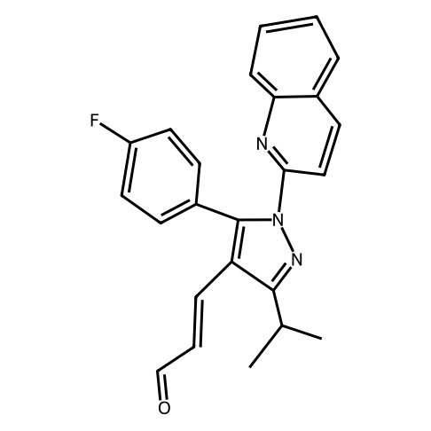 CC(C)c1nn(-c2ccc3ccccc3n2)c(-c2ccc(F)cc2)c1C=CC=O